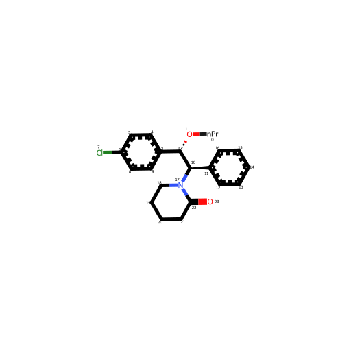 CCCO[C@@H](c1ccc(Cl)cc1)[C@@H](c1ccccc1)N1CCCCC1=O